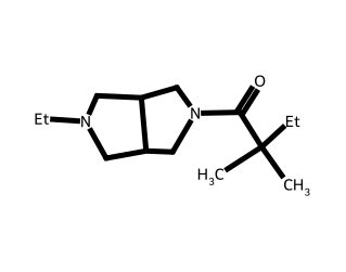 CCN1CC2CN(C(=O)C(C)(C)CC)CC2C1